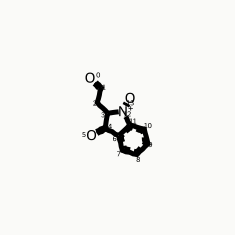 O=CCC1C(=O)c2ccccc2[N+]1=O